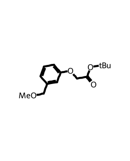 COCc1cccc(OCC(=O)OC(C)(C)C)c1